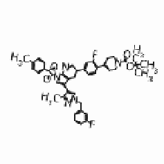 Cc1ccc(S(=O)(=O)n2cc(-c3cn(Cc4cccc(F)c4)nc3C)c3cc(-c4ccc(C5=CCN(C(=O)OC(C)(C)C)CC5)c(F)c4)cnc32)cc1